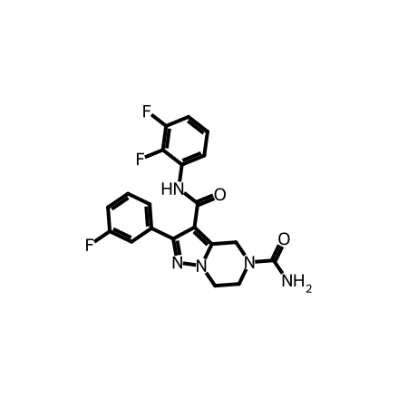 NC(=O)N1CCn2nc(-c3cccc(F)c3)c(C(=O)Nc3cccc(F)c3F)c2C1